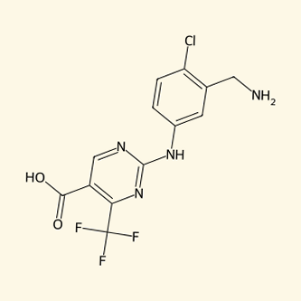 NCc1cc(Nc2ncc(C(=O)O)c(C(F)(F)F)n2)ccc1Cl